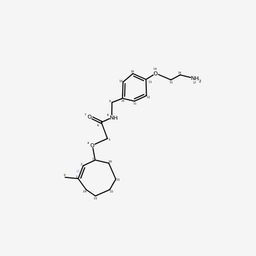 C/C1=C/C(OCC(=O)NCc2ccc(OCCN)cc2)CCCCC1